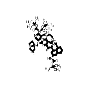 C#Cc1cccc2cc(NC(=O)OC(C)(C)C)cc(-c3nc4c5c(nc(OC[C@@]67CCCN6C[C@H](F)C7)nc5c3F)N([C@H](C)c3cccnc3N(C(=O)OC(C)(C)C)C(=O)OC(C)(C)C)CCO4)c12